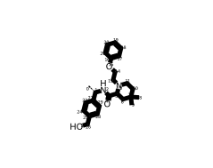 C[C@H](NC(=O)C1CC(C)(C)CCN1CCOc1ccccc1)c1ccc(CO)cc1